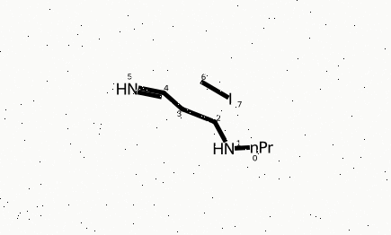 CCCNCCC=N.CI